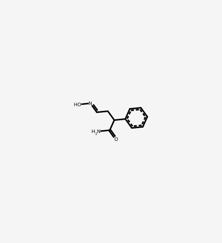 NC(=O)C(CC=NO)c1ccccc1